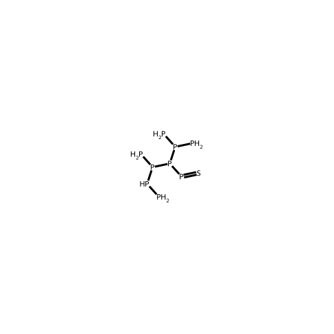 PPP(P)P(P=S)P(P)P